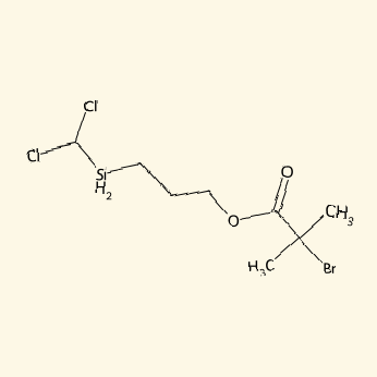 CC(C)(Br)C(=O)OCCC[SiH2]C(Cl)Cl